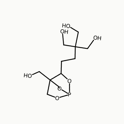 OCC(CO)(CO)CCC1OP2OCC1(CO)CO2